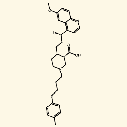 COc1ccc2nccc([C@H](F)CC[C@@H]3CCN(CCCCc4ccc(C)cc4)C[C@@H]3C(=O)O)c2c1